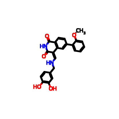 COc1ccccc1-c1ccc2c(c1)C(=CNCc1ccc(O)c(O)c1)C(=O)NC2=O